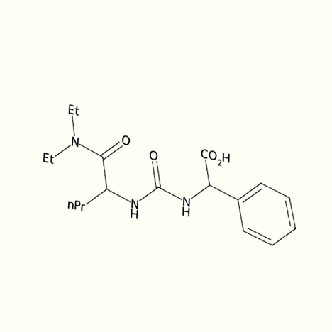 CCCC(NC(=O)NC(C(=O)O)c1ccccc1)C(=O)N(CC)CC